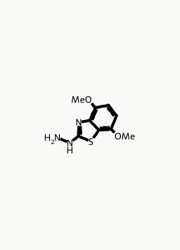 COc1ccc(OC)c2sc(NN)nc12